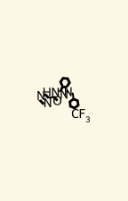 O=C(Nc1nn(Cc2ccc(C(F)(F)F)cc2)c2ccccc12)c1cnccn1